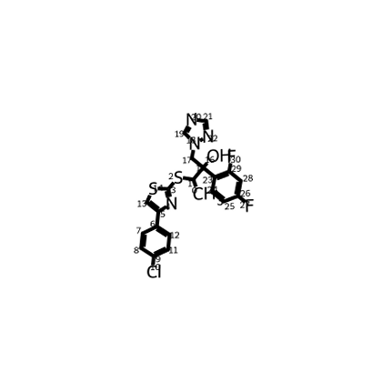 CC(Sc1nc(-c2ccc(Cl)cc2)cs1)C(O)(Cn1cncn1)c1ccc(F)cc1F